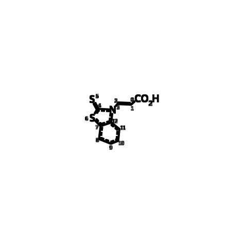 O=C(O)C=Cn1c(=S)sc2ccccc21